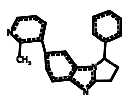 Cc1ncccc1-c1ccc2nc3n(c2c1)C(c1ccccc1)CC3